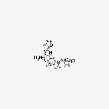 CNc1nc(N)n2nc(-c3ccco3)nc2c1CC1CCCN1Cc1ccc(Cl)o1